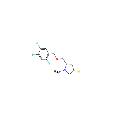 O=S(=O)(O)N1CC(S)CC1COCc1cc(F)c(F)cc1F